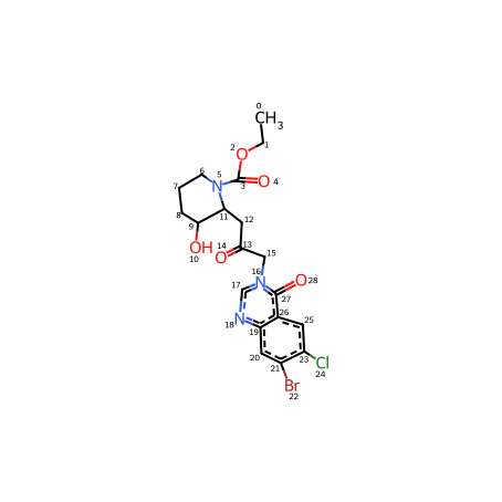 CCOC(=O)N1CCCC(O)C1CC(=O)Cn1cnc2cc(Br)c(Cl)cc2c1=O